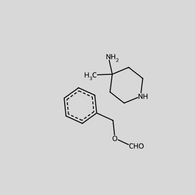 CC1(N)CCNCC1.O=COCc1ccccc1